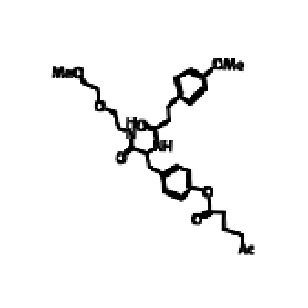 COCCOCCNC(=O)C(Cc1ccc(OC(=O)CCCC(C)=O)cc1)NC(=O)CCc1ccc(OC)cc1